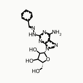 Nc1nc(NN=Cc2ccccc2)nc2c1ncn2[C@@H]1O[C@H](CO)C(O)C1O